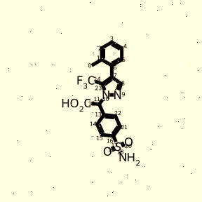 Cc1ccccc1-c1cnn(C(C(=O)O)c2ccc(S(N)(=O)=O)cc2)c1C(F)(F)F